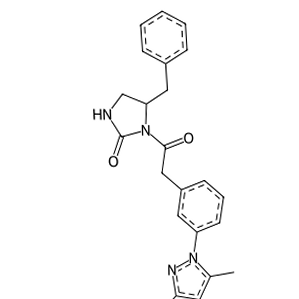 Cc1cc(C)n(-c2cccc(CC(=O)N3C(=O)NCC3Cc3ccccc3)c2)n1